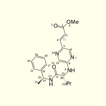 COC(=O)/C=C/c1cnc(N[C@@H](C(=O)N[C@@H](C)c2ccccc2)C(C)C)cn1